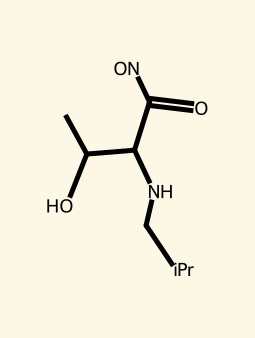 CC(C)CNC(C(=O)N=O)C(C)O